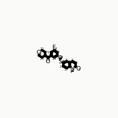 Cn1c(=O)ccc2cc(SOc3cc(F)cc(C(=O)C4CCOCC4)c3)ccc21